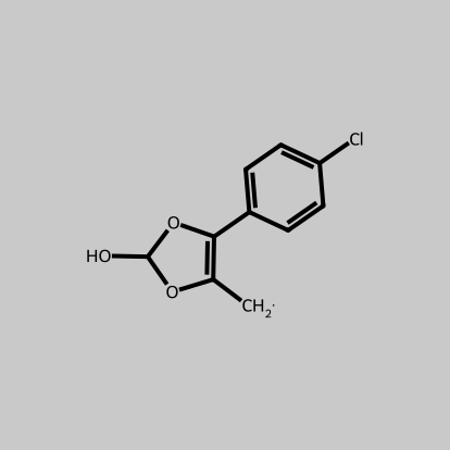 [CH2]C1=C(c2ccc(Cl)cc2)OC(O)O1